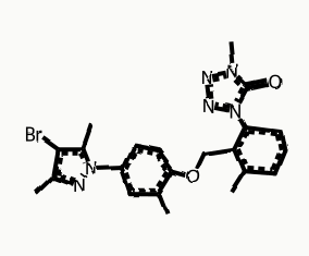 Cc1cc(-n2nc(C)c(Br)c2C)ccc1OCc1c(C)cccc1-n1nnn(C)c1=O